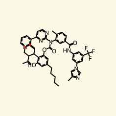 C=C(C)C1CCC(C)=CC1c1c(O)cc(CCCCC)cc1OC(=O)N(c1nccc(-c2cccnc2)n1)c1cc(C(=O)Nc2cc(-n3cnc(C)c3)cc(C(F)(F)F)c2)ccc1C